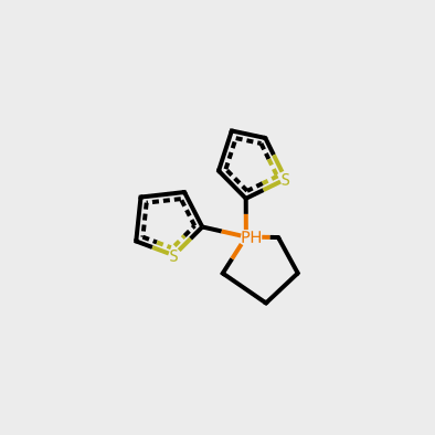 c1csc([PH]2(c3cccs3)CCCC2)c1